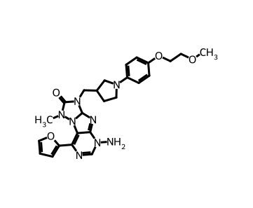 COCCOc1ccc(N2CCC(CN3C(=O)N(C)N4C5=C(c6ccco6)N=CN(N)C5=NC34)C2)cc1